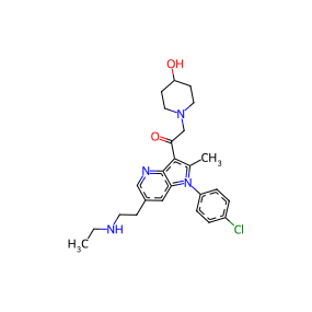 CCNCCc1cnc2c(C(=O)CN3CCC(O)CC3)c(C)n(-c3ccc(Cl)cc3)c2c1